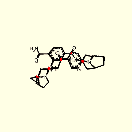 NC(=O)c1ccc(C(=O)NC2CC3CCC(C2)N3c2ccc(C(=O)CCN3CCCC3)cn2)cc1NCC1CC1